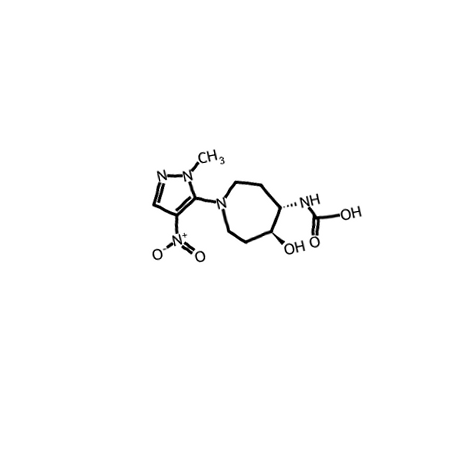 Cn1ncc([N+](=O)[O-])c1N1CC[C@H](NC(=O)O)[C@@H](O)CC1